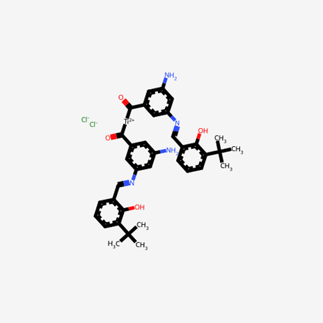 CC(C)(C)c1cccc(C=Nc2cc(N)cc([C](=O)[Ti+2][C](=O)c3cc(N)cc(N=Cc4cccc(C(C)(C)C)c4O)c3)c2)c1O.[Cl-].[Cl-]